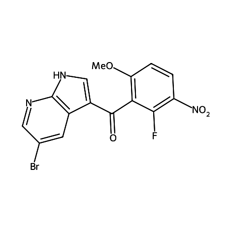 COc1ccc([N+](=O)[O-])c(F)c1C(=O)c1c[nH]c2ncc(Br)cc12